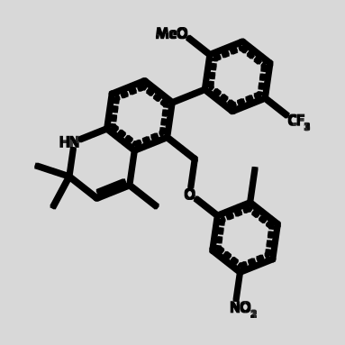 COc1ccc(C(F)(F)F)cc1-c1ccc2c(c1COc1cc([N+](=O)[O-])ccc1C)C(C)=CC(C)(C)N2